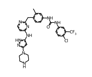 Cc1cc(NC(=O)Nc2ccc(Cl)c(C(F)(F)F)c2)ccc1Cc1nccc(Nc2cc(N3CCNCC3)n[nH]2)n1